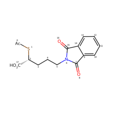 CC(=O)S[C@H](CCCN1C(=O)c2ccccc2C1=O)C(=O)O